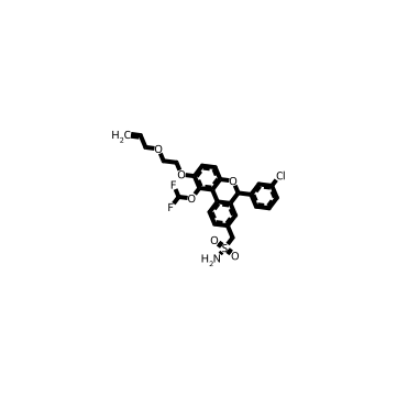 C=CCOCCOc1ccc2c(c1OC(F)F)-c1ccc(CS(N)(=O)=O)cc1C(c1cccc(Cl)c1)O2